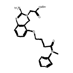 CC(C)COC(=O)CN1Cc2c(cccc2OCCCC(=O)N(C)c2ccccc2)N=C1N